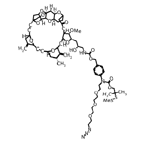 C=C1C[C@@H]2CC[C@@]34CC5O[C@@H]6C(O[C@H]7CCC(CC(=O)C[C@@H]8[C@@H](OC)[C@@H](C[C@H](O)CNC(=O)OCc9ccc(N(CCOCCOCCOCCN=[N+]=[N-])C(=O)OCC(C)(C)SSC)cc9)O[C@H]8CC8O[C@@H](CCC1O2)C[C@@H](C)C8=C)O[C@@H]7[C@@H]6O3)[C@@H]5O4